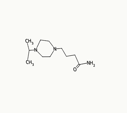 CC(C)N1CCN(CCCC(N)=O)CC1